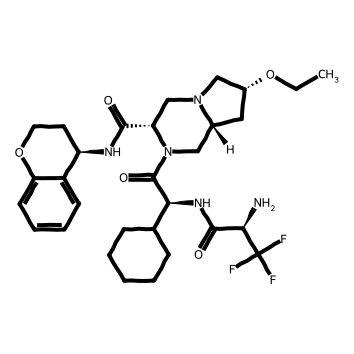 CCO[C@@H]1C[C@@H]2CN(C(=O)[C@@H](NC(=O)[C@@H](N)C(F)(F)F)C3CCCCC3)[C@H](C(=O)N[C@@H]3CCOc4ccccc43)CN2C1